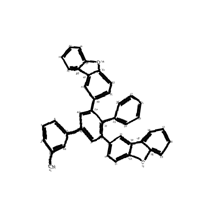 N#Cc1cccc(-c2cc(-c3ccc4oc5ccccc5c4c3)c(-c3ccccc3)c(-c3ccc4oc5ccccc5c4c3)c2)c1